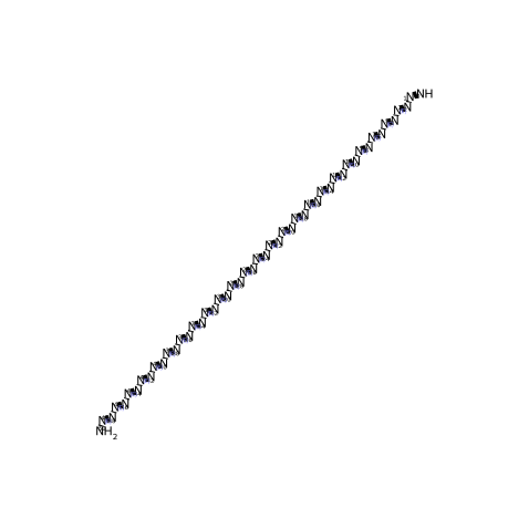 N=N/N=N/N=N/N=N/N=N/N=N/N=N/N=N/N=N/N=N/N=N/N=N/N=N/N=N/N=N/N=N/N=N/N=N/N=N/N=N/N=N/N=N/N=N/N=N/N=N/N